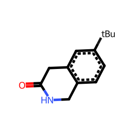 CC(C)(C)c1ccc2c(c1)CC(=O)NC2